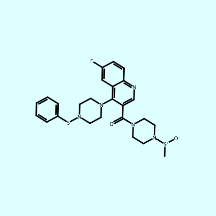 C[S+]([O-])N1CCN(C(=O)c2cnc3ccc(F)cc3c2N2CCN(Sc3ccccc3)CC2)CC1